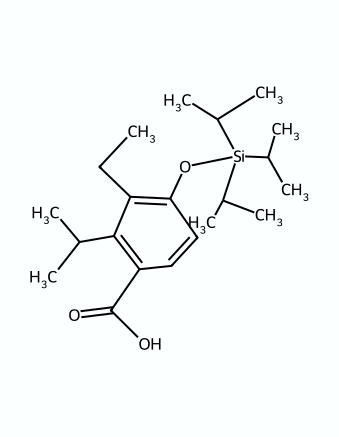 CCc1c(O[Si](C(C)C)(C(C)C)C(C)C)ccc(C(=O)O)c1C(C)C